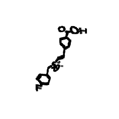 O=C(O)c1ccc(C=C[S+]([O-])Cc2ccc(F)cc2)cc1